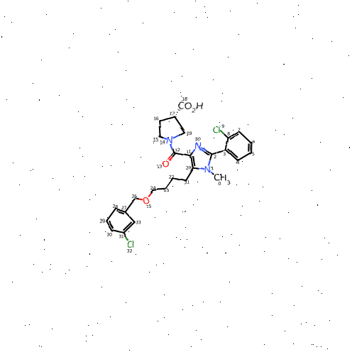 Cn1c(-c2ccccc2Cl)nc(C(=O)N2CC[C@H](C(=O)O)C2)c1CCCCOCc1cccc(Cl)c1